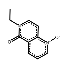 CCn1ccc2c(ccc[n+]2[O-])c1=O